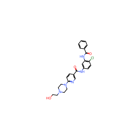 O=C(Nc1ccc(Cl)c(NC(=O)c2ccccc2)c1)c1ccc(N2CCN(CCO)CC2)nc1